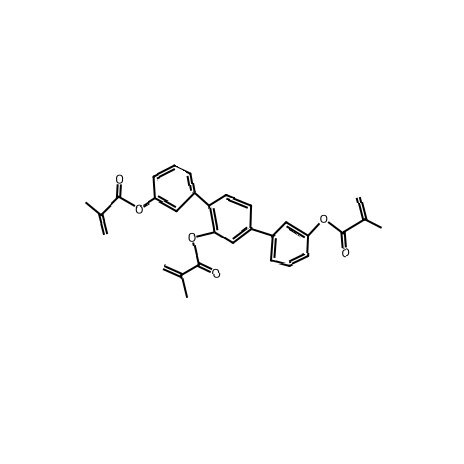 C=C(C)C(=O)Oc1cccc(-c2ccc(-c3cccc(OC(=O)C(=C)C)c3)c(OC(=O)C(=C)C)c2)c1